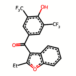 CCc1oc2ccccc2c1C(=O)c1cc(C(F)(F)F)c(O)c(C(F)(F)F)c1